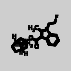 Cc1c(C(=O)O[C@H]2C[C@H]3CC[C@@H](C2)N3C)c2ccccc2n1CCF